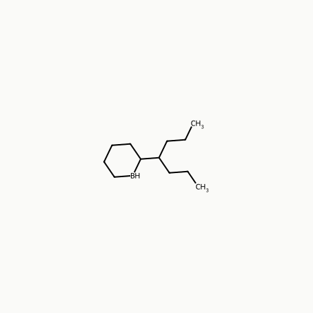 CCCC(CCC)C1BCCCC1